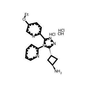 CCOc1ccc(-c2nnc([C@H]3C[C@H](N)C3)n2-c2ccccn2)nc1.Cl.Cl.Cl